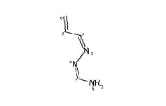 C=C/C=N\N=C/N